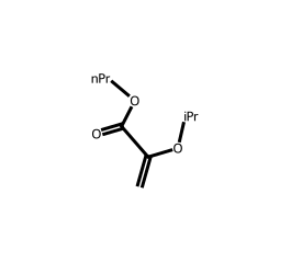 C=C(OC(C)C)C(=O)OCCC